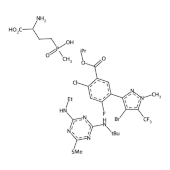 CC(C)OC(=O)c1cc(-c2nn(C)c(C(F)(F)F)c2Br)c(F)cc1Cl.CCNc1nc(NC(C)(C)C)nc(SC)n1.CP(=O)(O)CCC(N)C(=O)O